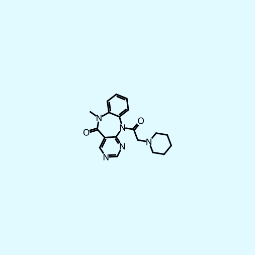 CN1C(=O)c2cncnc2N(C(=O)CN2CCCCC2)c2ccccc21